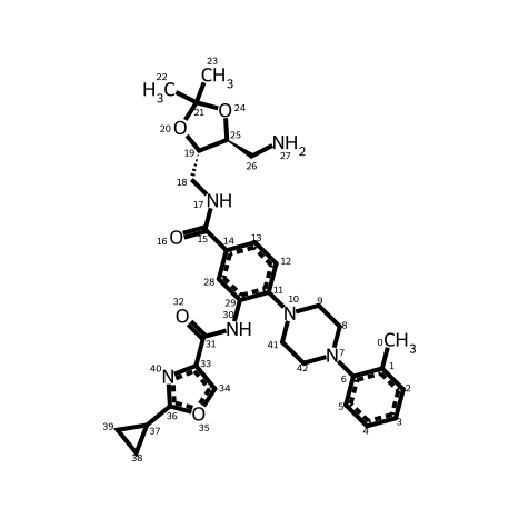 Cc1ccccc1N1CCN(c2ccc(C(=O)NC[C@@H]3OC(C)(C)O[C@H]3CN)cc2NC(=O)c2coc(C3CC3)n2)CC1